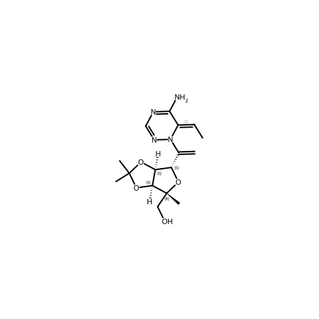 C=C([C@@H]1O[C@](C)(CO)[C@H]2OC(C)(C)O[C@@H]12)N1N=CN=C(N)/C1=C/C